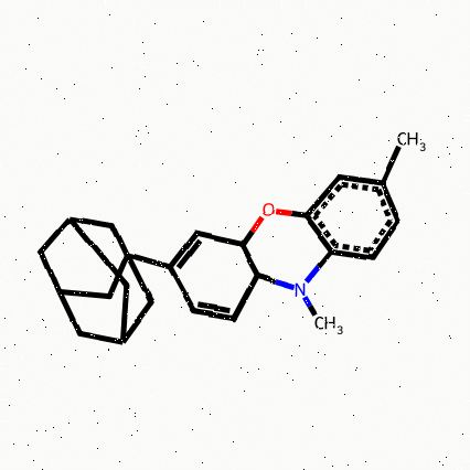 Cc1ccc2c(c1)OC1C=C(C34CC5CC(CC(C5)C3)C4)C=CC1N2C